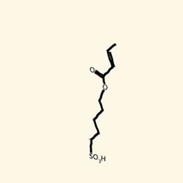 CC=CC(=O)OCCCC[CH]S(=O)(=O)O